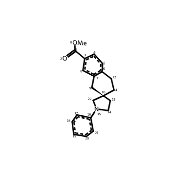 COC(=O)c1ccc2c(c1)C[C@@]1(CC2)CCN(c2ccccc2)C1